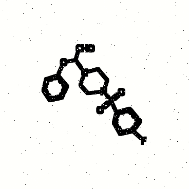 O=CC(Oc1ccccc1)N1CCN(S(=O)(=O)c2ccc(F)cc2)CC1